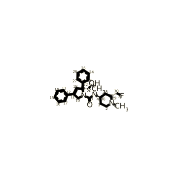 CN1CC[C@@H](N(C)C(=O)N2CC(c3ccccc3)=C[C@@]2(CO)c2ccccc2)C[C@@H]1CF